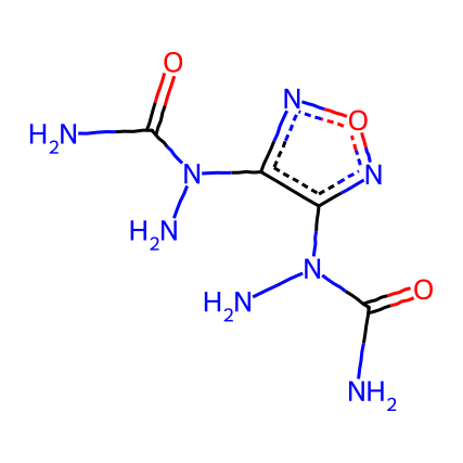 NC(=O)N(N)c1nonc1N(N)C(N)=O